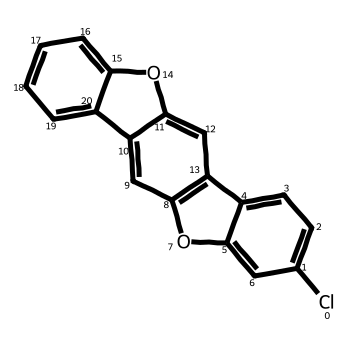 Clc1ccc2c(c1)oc1cc3c(cc12)oc1ccccc13